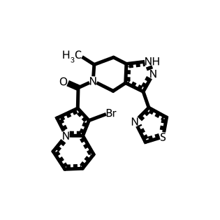 CC1Cc2[nH]nc(-c3cscn3)c2CN1C(=O)c1cn2ccccc2c1Br